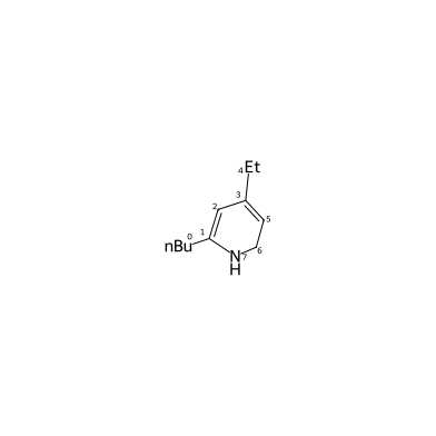 CCCCC1=CC(CC)=CCN1